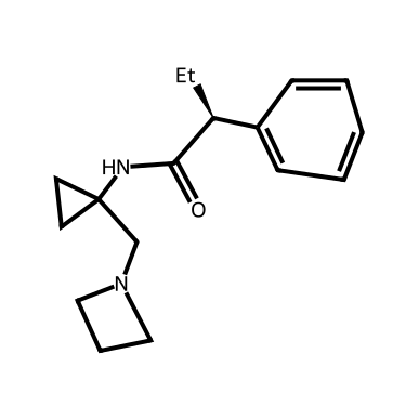 CC[C@H](C(=O)NC1(CN2CCC2)CC1)c1ccccc1